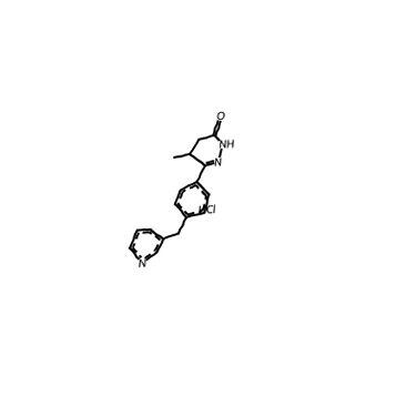 CC1CC(=O)NN=C1c1ccc(Cc2cccnc2)cc1.Cl